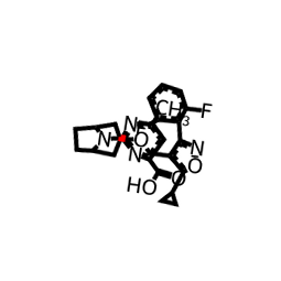 Cc1cc(C(=O)O)nc(N2C3CCC2CC(OCc2c(-c4c(F)cccc4F)noc2C2CC2)C3)n1